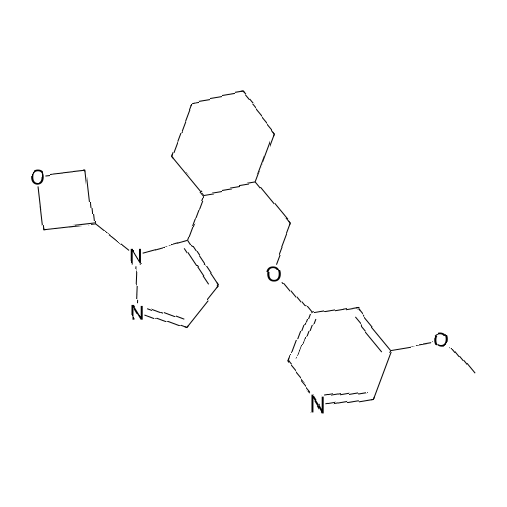 COc1cncc(OCC2CCCCC2c2ccnn2C2COC2)c1